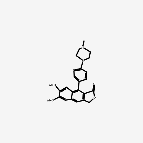 COc1cc2cc3c(c(-c4ccc(N5CCN(C)CC5)nc4)c2cc1OC)C(=O)OC3